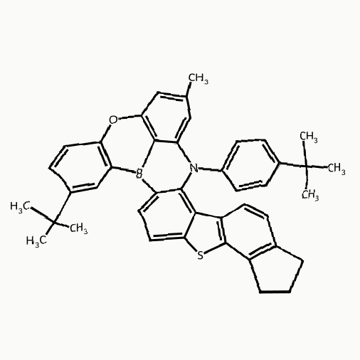 Cc1cc2c3c(c1)N(c1ccc(C(C)(C)C)cc1)c1c(ccc4sc5c6c(ccc5c14)CCC6)B3c1cc(C(C)(C)C)ccc1O2